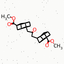 COC(=O)C12C3C4C1C1C2C3C41CC(=O)CC12C3C4C1C1C2C3C41C(=O)OC